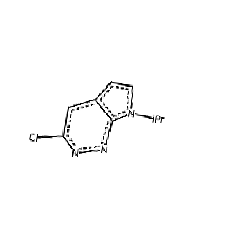 CC(C)n1ccc2cc(Cl)nnc21